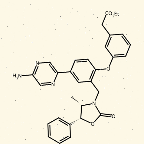 CCOC(=O)Cc1cccc(Oc2ccc(-c3cnc(N)cn3)cc2CN2C(=O)O[C@H](c3ccccc3)[C@@H]2C)c1